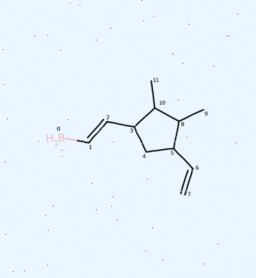 B/C=C/C1CC(C=C)C(C)C1C